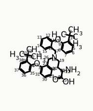 CC(C)(C)c1ccccc1Oc1ccccc1CN(CC[C@H](N)C(=O)O)Cc1ccccc1Oc1ccccc1C(C)(C)C